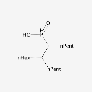 CCCCCCC(CCCCC)C(CCCCC)[PH](=O)O